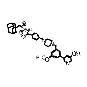 O=C(NS(=O)(=O)CC12CC3CC(CC(C3)C1)C2)c1ccc(N2CCN(Cc3cc(OC(F)(F)F)cc(-c4cncc(O)c4)c3)CC2)cc1